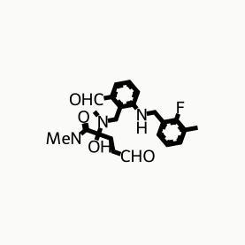 CNC(=O)C(O)(CCC=O)N(C)Cc1c(C=O)cccc1NCc1cccc(C)c1F